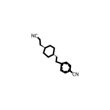 N#CCC[C@H]1CC[C@H](CCc2ccc(C#N)cc2)CC1